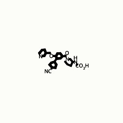 N#Cc1ccc(-c2cc(C(=O)N3CCCC(NC(=O)O)C3)ccc2OCc2cccnc2)cc1